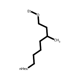 [CH2]COCCC(C)CCCCCCCCCC